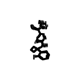 NNC(=O)c1cnc(NC2(c3ccccc3F)CCC2)nc1